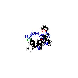 Cc1ccc2c([C@H](C)c3ccc(Cl)cc3)nccc2c1-c1ncccc1-c1ncnc2c1ncn2C1CCCCO1.NN